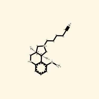 COc1cccc2c1[C@@H]1CN(CCCCC#N)C[C@@H]1CO2